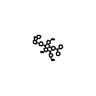 CC(C)(C)c1ccc(N2c3cc(N(c4ccccc4)c4ccccc4)ccc3B3c4cc(C(C)(C)C)ccc4N(c4ccc(-c5cccc6oc7ccccc7c56)cc4)c4cc(C(C)(C)C)cc2c43)cc1